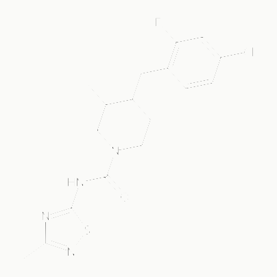 Cc1nsc(NC(=O)N2CCC(Cc3ccc(Cl)cc3F)C(C)C2)n1